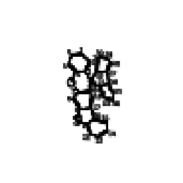 c1ccc2c(c1)Oc1cc3sc4ccccc4c3cc1C21c2ccccc2-c2ccccc21